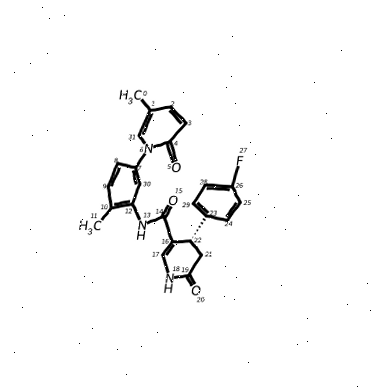 Cc1ccc(=O)n(-c2ccc(C)c(NC(=O)C3=CNC(=O)C[C@H]3c3ccc(F)cc3)c2)c1